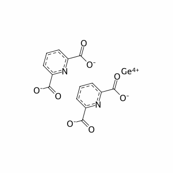 O=C([O-])c1cccc(C(=O)[O-])n1.O=C([O-])c1cccc(C(=O)[O-])n1.[Ge+4]